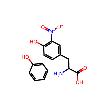 NC(Cc1ccc(O)c([N+](=O)[O-])c1)C(=O)O.Oc1ccccc1